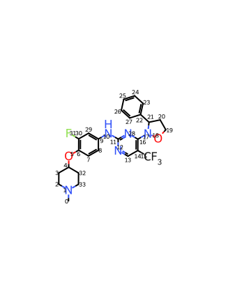 CN1CCC(Oc2ccc(Nc3ncc(C(F)(F)F)c(N4OCCC4c4ccccc4)n3)cc2F)CC1